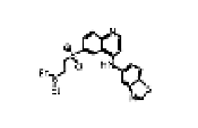 CCN(CC)CCS(=O)(=O)c1ccc2nccc(Nc3ccc4scnc4c3)c2c1